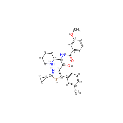 COc1cccc(C(=O)NC(C(=O)c2nc(C3CC3)sc2-c2cccc(C)c2)C2CCCCN2)c1